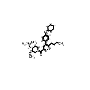 CCCCc1nnc(C(=O)N2CC[C@@H](CN(C)C)[C@@H](OC)C2)cc1-c1ccc(OC2CCCCC2)cc1